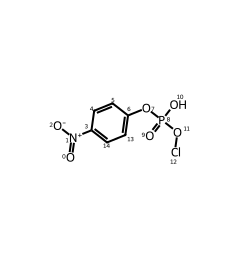 O=[N+]([O-])c1ccc(OP(=O)(O)OCl)cc1